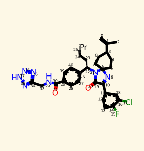 C=C(C)C1CCC2(CC1)N=C(c1ccc(F)c(Cl)c1)C(=O)N2[C@H](CCC(C)C)c1ccc(C(=O)NCc2nn[nH]n2)cc1